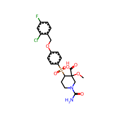 COC1(C(=O)O)CN(C(N)=O)CCC1S(=O)(=O)c1ccc(OCc2ccc(F)cc2Cl)cc1